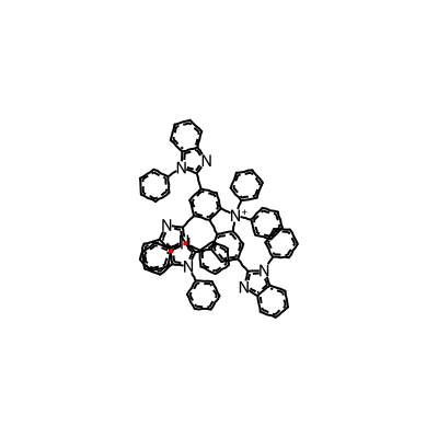 c1ccc(-n2c(-c3cc(-c4nc5ccccc5n4-c4ccccc4)c4c(c3)[N+](c3ccccc3)(c3ccccc3)c3cc(-c5nc6ccccc6n5-c5ccccc5)cc(-c5nc6ccccc6n5-c5ccccc5)c3-4)nc3ccccc32)cc1